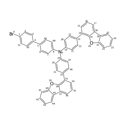 Brc1ccc(-c2ccc(N(c3ccc(-c4cccc5c4oc4ccccc45)cc3)c3ccc(-c4cccc5c4oc4ccccc45)cc3)cc2)cc1